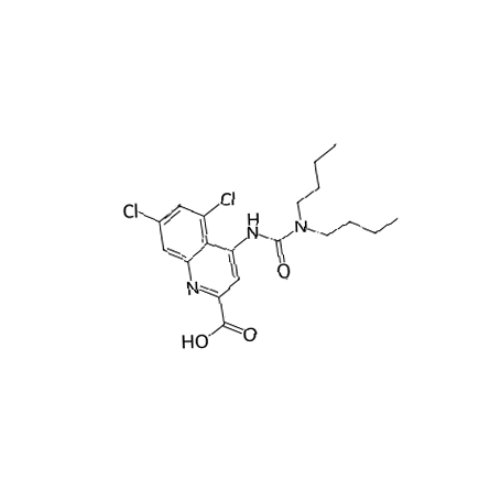 CCCCN(CCCC)C(=O)Nc1cc(C(=O)O)nc2cc(Cl)cc(Cl)c12